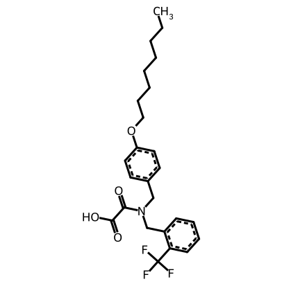 CCCCCCCCOc1ccc(CN(Cc2ccccc2C(F)(F)F)C(=O)C(=O)O)cc1